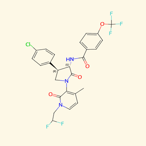 Cc1ccn(CC(F)F)c(=O)c1N1C[C@@H](c2ccc(Cl)cc2)[C@H](NC(=O)c2ccc(OC(F)(F)F)cc2)C1=O